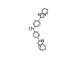 O=C(c1ccc(-c2cn3ccccc3n2)cc1)c1ccc(-c2cn3ccccc3n2)cc1